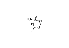 NP1(=O)NCOC(=O)N1